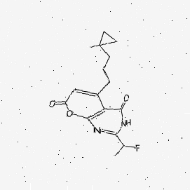 CC(F)c1nc2oc(=O)cc(CCCC3(C)CC3)c2c(=O)[nH]1